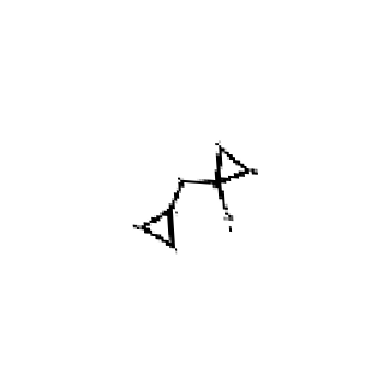 CC(=O)C1(CC2CC2)CC1